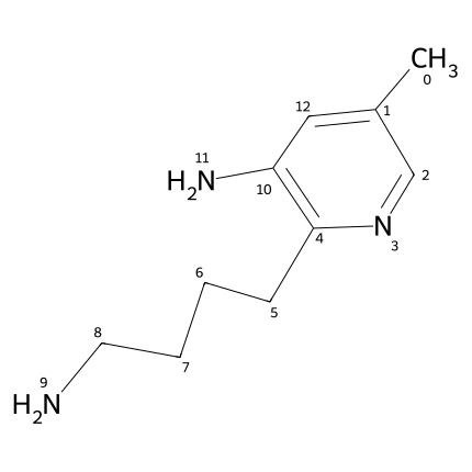 Cc1cnc(CCCCN)c(N)c1